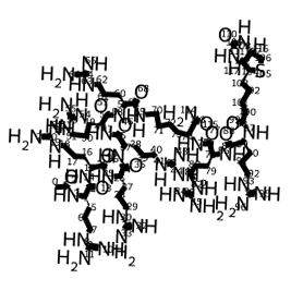 CC(=O)N[C@@H](CCCNC(=N)N)C(=O)N[C@@H](CCCNC(=N)N)C(=O)N[C@@H](CCCNC(=N)N)C(=O)N[C@@H](CCCNC(=N)N)C(=O)N[C@@H](CCCNC(=N)N)C(=O)N[C@@H](CCCNC(=N)N)C(=O)NCCCCC(NC(=O)[C@H](CCCNC(=N)N)NC(=O)[C@H](CCCNC(=N)N)NC(=O)CCCC[C@@H]1SC[C@@H]2NC(=O)N[C@@H]21)C(N)=O